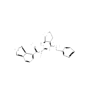 O=C(Nc1nc(NCc2ccccc2)c2c(n1)OCC2)c1cccc2cocc12